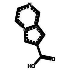 O=C(O)c1cc2cnccn2c1